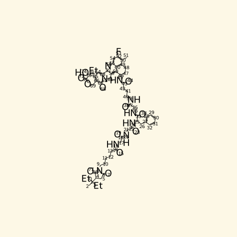 CCC(C)(CC)C1CC(=O)N(CCCCCC(=O)NCC(=O)NCC(=O)NC(Cc2ccccc2)C(=O)NCC(=O)NCCCC(=O)N[C@H]2CCc3c(C)c(F)cc4nc5c(c2c34)Cn2c-5cc3c(c2=O)COC(=O)[C@]3(O)CC)C1=O